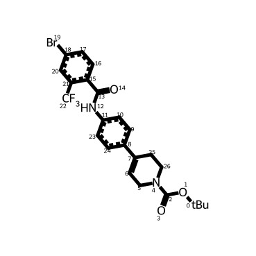 CC(C)(C)OC(=O)N1CC=C(c2ccc(NC(=O)c3ccc(Br)cc3C(F)(F)F)cc2)CC1